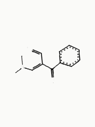 CN(C)C=C(C=S)C(=O)c1ccccc1